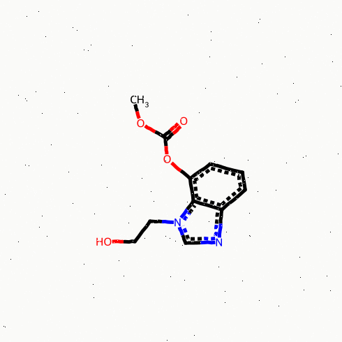 COC(=O)Oc1cccc2ncn(CCO)c12